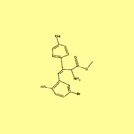 COC(=O)C(N)C(=Cc1cc(Br)ccc1O)c1ccc(O)cc1